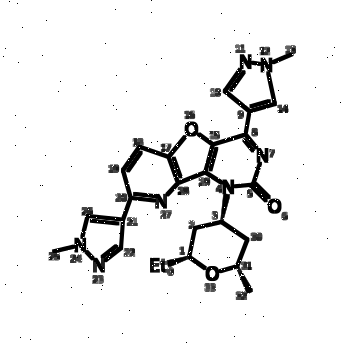 CC[C@H]1C[C@@H](n2c(=O)nc(-c3cnn(C)c3)c3oc4ccc(-c5cnn(C)c5)nc4c32)C[C@@H](C)O1